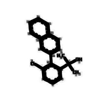 CC(C)(O)c1cccc(Cl)c1-c1ccc2ccccc2c1